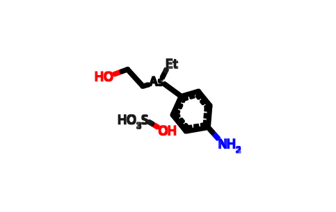 CC[As](CCO)c1ccc(N)cc1.O=S(=O)(O)O